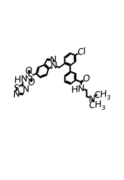 CN(C)CCNC(=O)c1cccc(-c2cc(Cl)ccc2Cn2ncc3cc(S(=O)(=O)Nc4ncns4)ccc32)c1